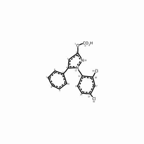 O=C(O)Oc1cc(-c2ccccc2)n(-c2ccc(Cl)cc2Cl)n1